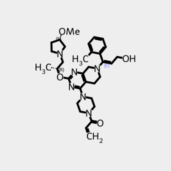 C=CC(=O)N1CCN(c2nc(O[C@H](C)CN3CC[C@H](OC)C3)nc3c2CCN(/C(=C/CO)c2ccccc2C)C3)CC1